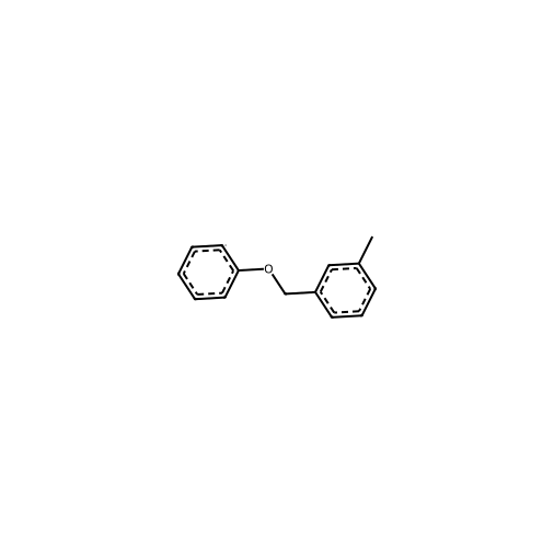 Cc1cccc(COc2[c]cccc2)c1